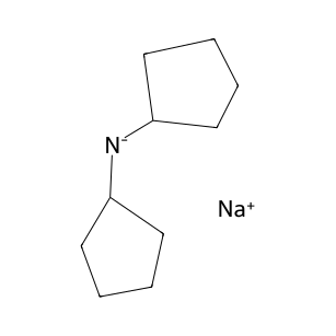 C1CCC([N-]C2CCCC2)C1.[Na+]